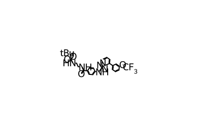 CC(C)(C)OC(=O)NCCNC(=O)c1ccc(Nc2nc3c(-c4cccc(OC(F)(F)F)c4)cccn3n2)cc1